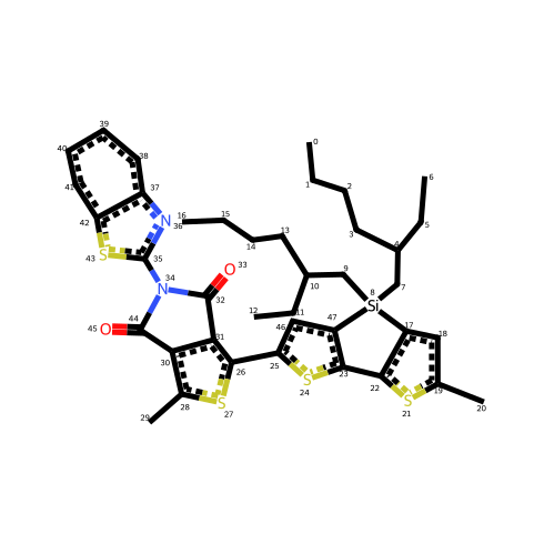 CCCCC(CC)C[Si]1(CC(CC)CCCC)c2cc(C)sc2-c2sc(-c3sc(C)c4c3C(=O)N(c3nc5ccccc5s3)C4=O)cc21